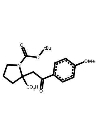 COc1ccc(C(=O)CC2(C(=O)O)CCCN2C(=O)OC(C)(C)C)cc1